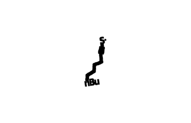 CCCCCCCCC#C[S]